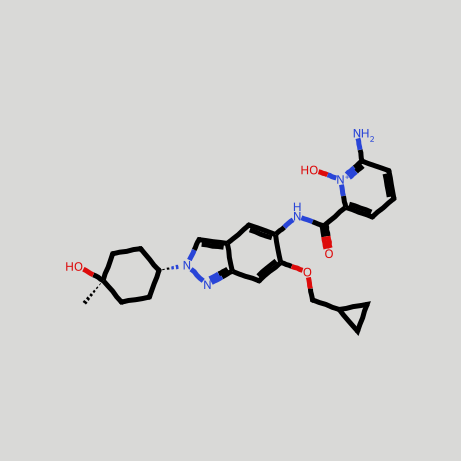 C[C@]1(O)CC[C@H](n2cc3cc(NC(=O)c4cccc(N)[n+]4O)c(OCC4CC4)cc3n2)CC1